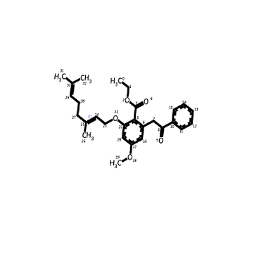 CCOC(=O)c1c(CC(=O)c2ccccc2)cc(OC)cc1OC/C=C(\C)CCC=C(C)C